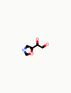 O=CC(=O)c1cnco1